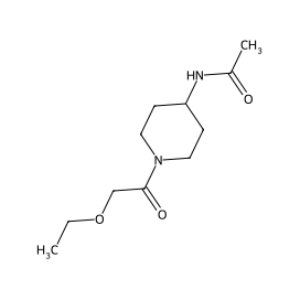 CCOCC(=O)N1CCC(NC(C)=O)CC1